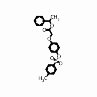 Cc1ccc(S(=O)(=O)Oc2ccc(OCC(=O)OC(C)c3ccccc3)cc2)cc1